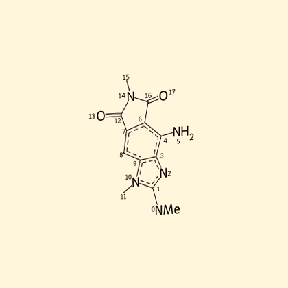 CNc1nc2c(N)c3c(cc2n1C)C(=O)N(C)C3=O